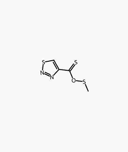 CSOC(=S)c1csnn1